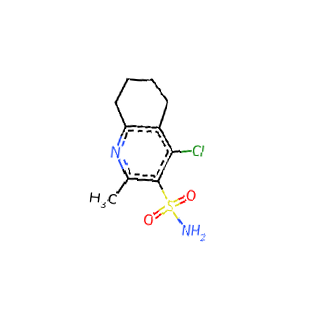 Cc1nc2c(c(Cl)c1S(N)(=O)=O)CCCC2